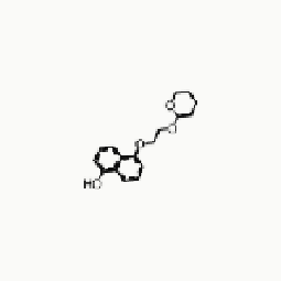 Oc1cccc2c(OCCOC3CCCCO3)cccc12